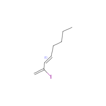 C=C(I)/C=C/CCCC